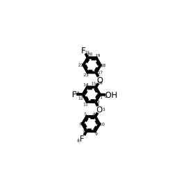 Oc1c(Oc2ccc(F)cc2)cc(F)cc1Oc1ccc(F)cc1